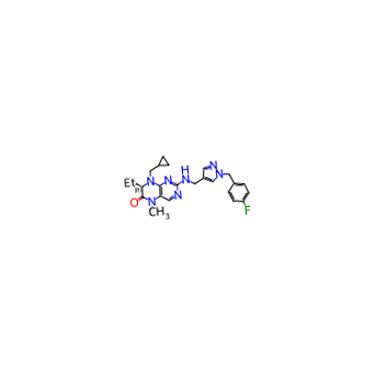 CC[C@@H]1C(=O)N(C)c2cnc(NCc3cnn(Cc4ccc(F)cc4)c3)nc2N1CC1CC1